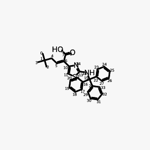 CC(C)(C)CC=C(C(=O)O)c1csc(NC(c2ccccc2)(c2ccccc2)c2ccccc2)n1